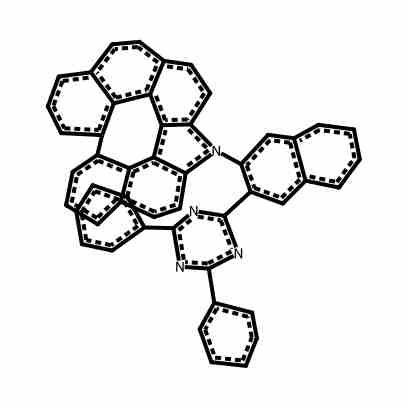 c1ccc(-c2nc(-c3ccccc3)nc(-c3cc4ccccc4cc3-n3c4ccc5cccc6c5c4c4c5c(ccc7cccc-6c75)ccc43)n2)cc1